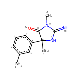 Bc1cccc(C2(CCCC)NC(=N)N(C)C2=O)c1